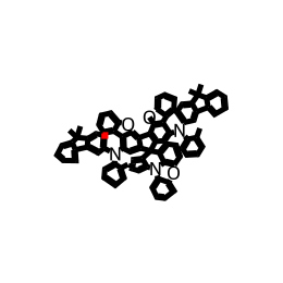 Cc1ccccc1N(c1ccc2c(c1)-c1ccccc1C2(C)C)c1cc2c(c3oc4ccccc4c13)-c1c(cc(N(c3ccc4c(c3)-c3ccccc3C4(C)C)c3ccccc3C)c3c1oc1ccccc13)C21c2ccccc2N2c3ccccc3Oc3cccc1c32